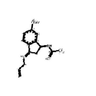 C=CC/N=C1\CC(NC(=O)C(F)(F)F)c2cc(OC)ccc21